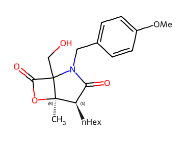 CCCCCC[C@@H]1C(=O)N(Cc2ccc(OC)cc2)C2(CO)C(=O)O[C@]12C